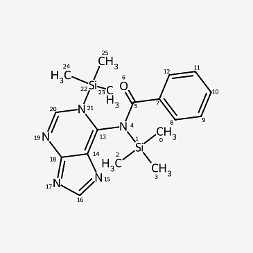 C[Si](C)(C)N(C(=O)c1ccccc1)c1c2ncnc-2ncn1[Si](C)(C)C